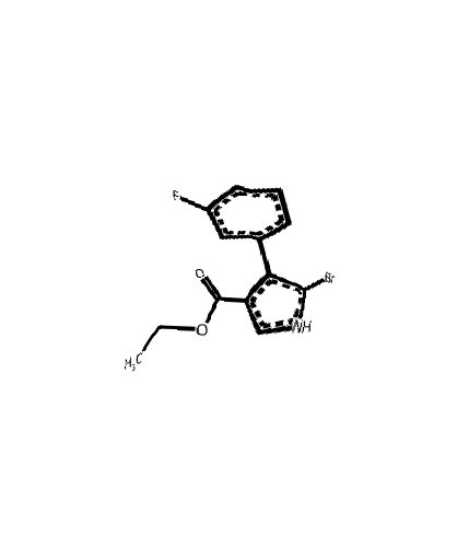 CCOC(=O)c1c[nH]c(Br)c1-c1cccc(F)c1